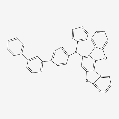 c1ccc(-c2cccc(-c3ccc(N(c4ccccc4)c4cc5sc6ccccc6c5c5oc6ccccc6c45)cc3)c2)cc1